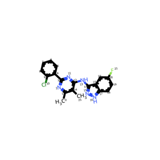 Cc1nc(-c2ccccc2Cl)nc(Nc2n[nH]c3ccc(F)cc23)c1C